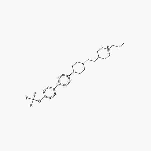 CCC[SiH]1CCC(CC[C@H]2CC[C@H](c3ccc(-c4ccc(OC(F)(F)F)cc4)cc3)CC2)CC1